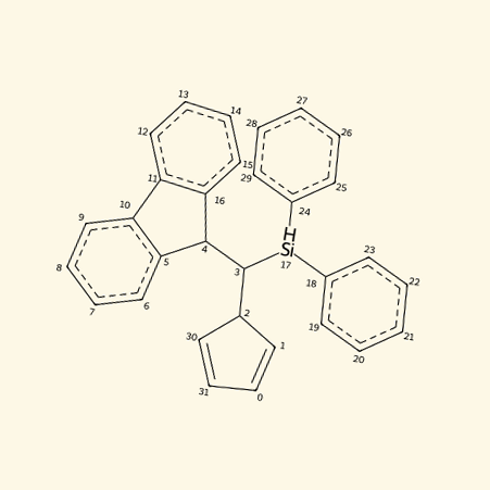 C1=CC(C(C2c3ccccc3-c3ccccc32)[SiH](c2ccccc2)c2ccccc2)C=C1